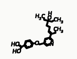 CCC(=CCCC(O)(CC)CC)c1cncc(COc2ccc(C(O)O)cc2)c1